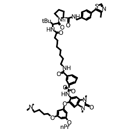 CCCOc1cc(OCCCCN(C)C)cc(Oc2cc3c(cc2NS(=O)(=O)c2cccc(C(=O)NCCCCCCCC(=O)NC(C(=O)N4CCC[C@H]4C(=O)NCc4ccc(-c5scnc5C)cc4)C(C)(C)C)c2)n(C)c(=O)n3C)c1